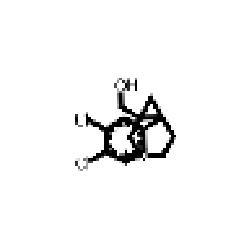 OCC12CNCCC1(c1ccc(Cl)c(Cl)c1)C2